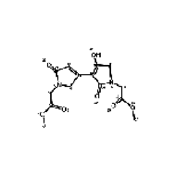 COC(=O)CN1CC(C2=C(O)CN(CC(=O)OC)C2=O)=CC1=O